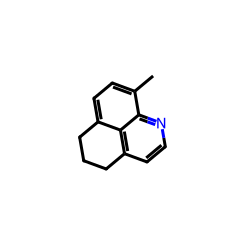 Cc1ccc2c3c(ccnc13)CCC2